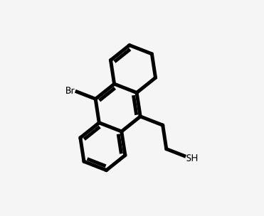 SCCc1c2c(c(Br)c3ccccc13)C=CCC2